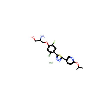 CC(C)Oc1ccc(-c2nnc(-c3cc(F)c(OCC(N)CO)cc3Cl)s2)cn1.Cl